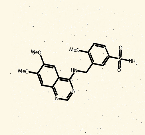 COc1cc2ncnc(NCc3cc(S(N)(=O)=O)ccc3SC)c2cc1OC